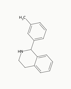 Cc1cccc(C2NCCc3ccccc32)c1